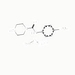 CC(C)(C)OC=O.COc1ccc(NC(=O)N2CCNCC2)cc1